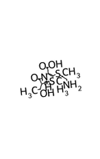 CC(O)C1C(=O)N2C(C(=O)O)=C(SC(C)(C)CN)S[C@H]12